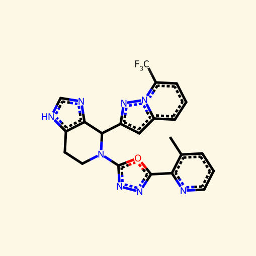 Cc1cccnc1-c1nnc(N2CCc3[nH]cnc3C2c2cc3cccc(C(F)(F)F)n3n2)o1